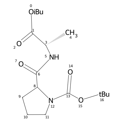 CC(C)COC(=O)[C@H](C)NC(=O)C1CCCN1C(=O)OC(C)(C)C